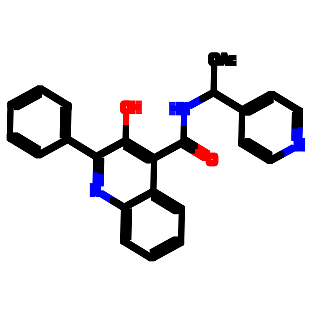 CC(=O)OC(NC(=O)c1c(O)c(-c2ccccc2)nc2ccccc12)c1ccncc1